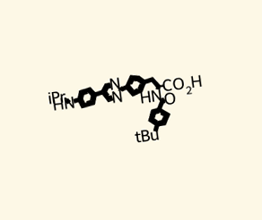 CC(C)Nc1ccc(-c2cnc(-c3ccc(C[C@H](NC(=O)c4ccc(C(C)(C)C)cc4)C(=O)O)cc3)nc2)cc1